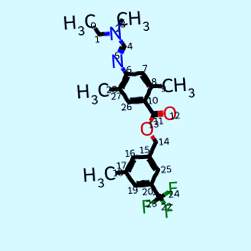 CCN(C)/C=N/c1cc(C)c(C(=O)OCc2cc(C)cc(C(F)(F)F)c2)cc1C